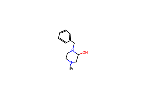 CC(C)N1CCN(Cc2ccccc2)C(O)C1